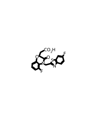 O=C(O)CC1Oc2cccc(F)c2N(Cc2nc3ccc(F)cc3s2)C1=O